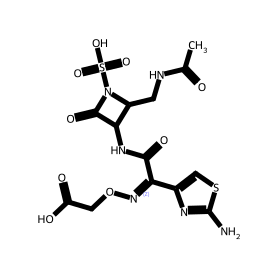 CC(=O)NCC1C(NC(=O)/C(=N\OCC(=O)O)c2csc(N)n2)C(=O)N1S(=O)(=O)O